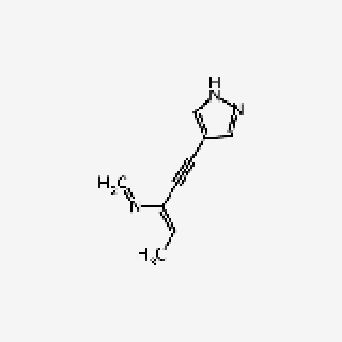 C=N/C(C#Cc1cn[nH]c1)=C\C